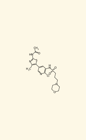 CC(=O)Nc1nc(C)c(-c2cnc(Cl)c(NS(=O)(=O)CCCN3CCOCC3)c2)s1